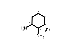 NC1CCCCC1N.[Pt]